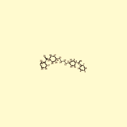 C=C(c1ccccc1)c1ccc(CCCCc2ccc(C(=C)c3ccccc3)cc2)cc1